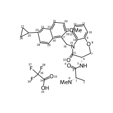 CN[C@@H](C)C(=O)N[C@H]1COc2ccccc2N(Cc2c(OC)ccc3cc(C4CC4)ccc23)C1=O.O=C(O)C(F)(F)F